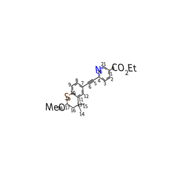 CCOC(=O)c1ccc(C#Cc2ccc3c(c2)C(C)(C)CC(OC)S3)nc1